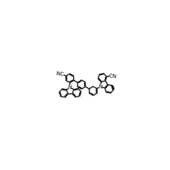 N#Cc1ccc(-c2ccc(C3C=CC=C(n4c5ccc#cc5c5c(C#N)cccc54)C3)cc2)c(-n2c3ccccc3c3ccccc32)c1